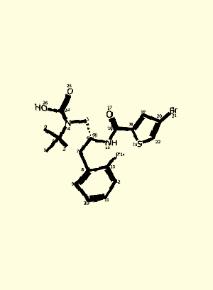 CC(C)(C)N(C[C@@H](Cc1ccccc1F)NC(=O)c1cc(Br)cs1)C(=O)O